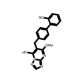 CCCc1c(Cc2ccc(-c3ccccc3C#N)cc2)c(OC)nc2ncnn12